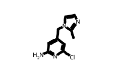 Cc1nccn1Cc1cc(N)nc(Cl)c1